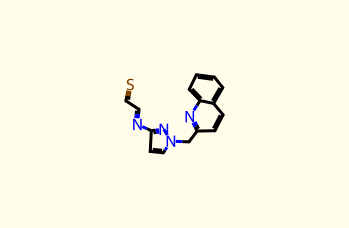 S=CC=Nc1ccn(Cc2ccc3ccccc3n2)n1